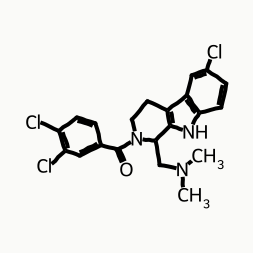 CN(C)CC1c2[nH]c3ccc(Cl)cc3c2CCN1C(=O)c1ccc(Cl)c(Cl)c1